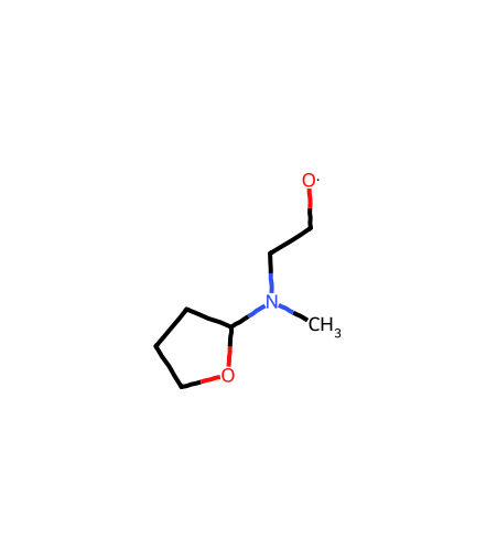 CN(CC[O])C1CCCO1